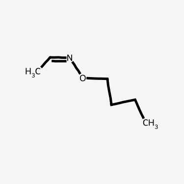 C/C=N\OCCCC